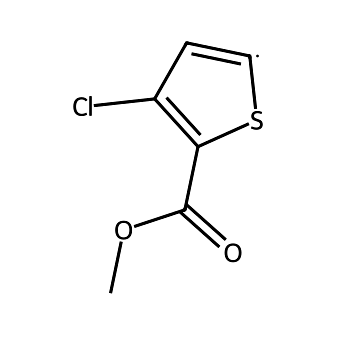 COC(=O)c1s[c]cc1Cl